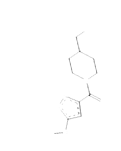 CNc1cc(C(=O)N2CCC(CO)CC2)[nH]n1